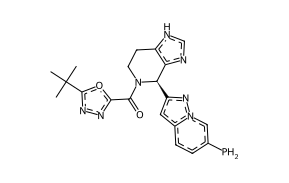 CC(C)(C)c1nnc(C(=O)N2CCc3[nH]cnc3[C@H]2c2cc3ccc(P)cn3n2)o1